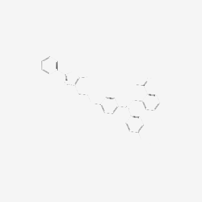 Cc1ccc(N(Cc2ccccc2C(=O)O)c2ccc(OCCc3nc(-c4ccccc4)oc3C)cc2)cc1